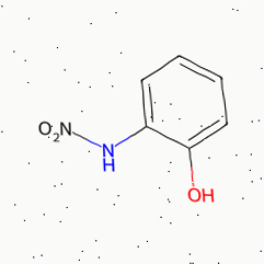 O=[N+]([O-])Nc1ccccc1O